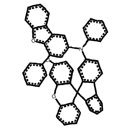 Clc1ccc2c(c1)Oc1ccccc1C21c2ccccc2-c2ccc(N(c3ccccc3)c3cc(-c4ccccc4)c4oc5ccccc5c4c3)cc21